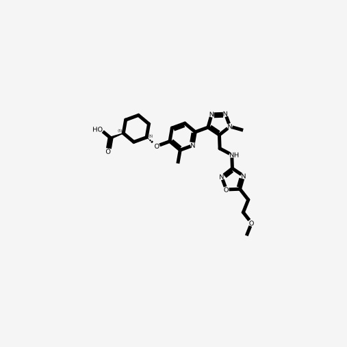 COCCc1nc(NCc2c(-c3ccc(O[C@H]4CCC[C@H](C(=O)O)C4)c(C)n3)nnn2C)no1